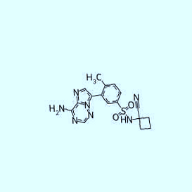 Cc1ccc(S(=O)(=O)NC2(C#N)CCC2)cc1-c1cnc2c(N)ncnn12